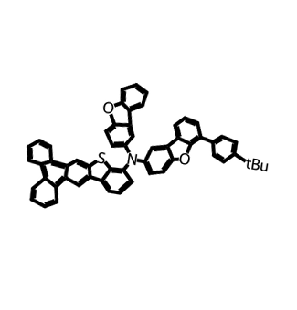 CC(C)(C)c1ccc(-c2cccc3c2oc2ccc(N(c4ccc5oc6ccccc6c5c4)c4cccc5c4sc4cc6c7ccccc7c7ccccc7c6cc45)cc23)cc1